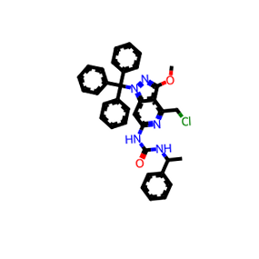 COc1nn(C(c2ccccc2)(c2ccccc2)c2ccccc2)c2cc(NC(=O)NC(C)c3ccccc3)nc(CCl)c12